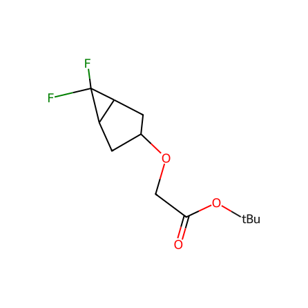 CC(C)(C)OC(=O)COC1CC2C(C1)C2(F)F